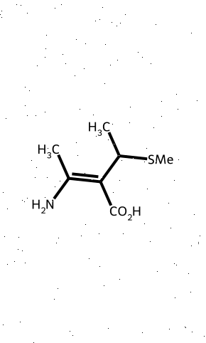 CSC(C)/C(C(=O)O)=C(\C)N